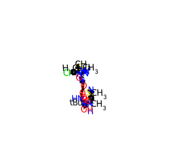 Cc1ncsc1-c1ccc([C@H](C)NC(=O)[C@@H]2C[C@@H](O)CN2C(=O)[C@@H](NC(=O)COCCCOC2CN(C(=O)C[C@@H]3N=C(c4ccc(Cl)cc4)c4c(sc(C)c4C)-n4c(C)nnc43)C2)C(C)(C)C)cc1